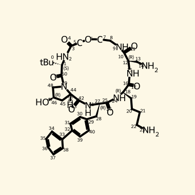 CC(C)(C)[C@@H]1NC(=O)COCCNC(=O)[C@@H](CN)NC(=O)[C@@H](CCCCN)NC(=O)[C@@H](Cc2ccc(-c3ccccc3)cc2)NC(=O)[C@@H]2C[C@@H](O)CN2C1=O